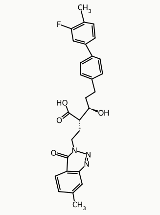 Cc1ccc2c(=O)n(CC[C@H](C(=O)O)[C@H](O)CCc3ccc(-c4ccc(C)c(F)c4)cc3)nnc2c1